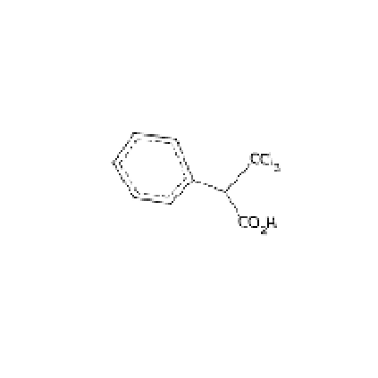 O=C(O)C(c1ccccc1)C(Cl)(Cl)Cl